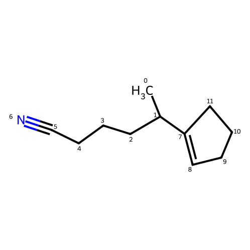 CC(CCCC#N)C1=CCCC1